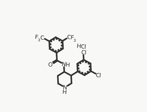 Cl.O=C(NC1CCNCC1c1cc(Cl)cc(Cl)c1)c1cc(C(F)(F)F)cc(C(F)(F)F)c1